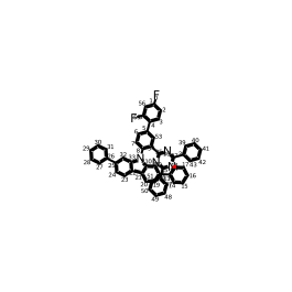 Fc1ccc(-c2ccc(-n3c4cc(-c5ccccc5)ccc4c4ccc(-c5ccccc5)cc43)c(-c3nc(-c4ccccc4)nc(-c4ccccc4)n3)c2)c(F)c1